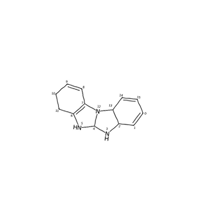 C1=CC2NC3NC4=C(C=CCC4)N3C2C=C1